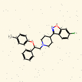 Fc1ccc2c(C3CCN(CC(Oc4ccc(C(F)(F)F)cc4)c4ccccc4)CC3)noc2c1